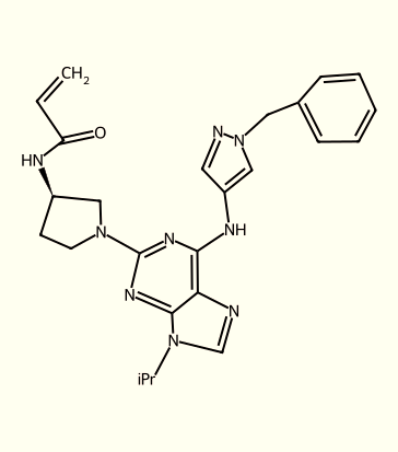 C=CC(=O)N[C@@H]1CCN(c2nc(Nc3cnn(Cc4ccccc4)c3)c3ncn(C(C)C)c3n2)C1